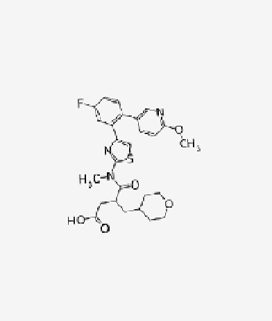 COc1ccc(-c2ccc(F)cc2-c2csc(N(C)C(=O)C(CC(=O)O)CC3CCOCC3)n2)cn1